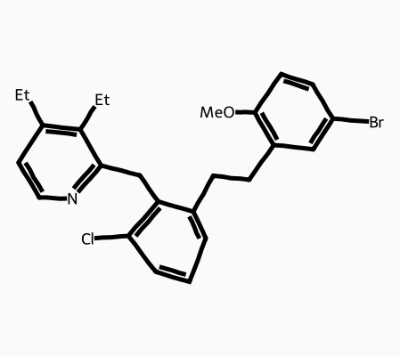 CCc1ccnc(Cc2c(Cl)cccc2CCc2cc(Br)ccc2OC)c1CC